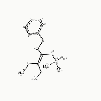 CCC(CC)=C(OCc1ccccc1)O[Si](C)(C)C